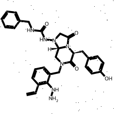 C=Cc1cccc(CN2C[C@@H]3N(NC(=O)NCc4ccccc4)CC(=O)N3[C@@H](Cc3ccc(O)cc3)C2=O)c1NN